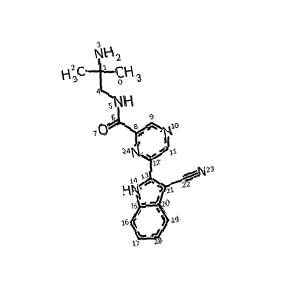 CC(C)(N)CNC(=O)c1cncc(-c2[nH]c3ccccc3c2C#N)n1